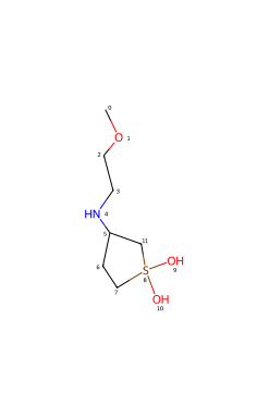 COCCNC1CCS(O)(O)C1